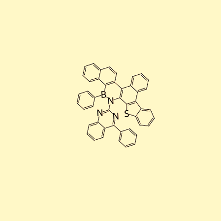 c1ccc(B2c3c(ccc4ccccc34)-c3c(c4sc5ccccc5c4c4ccccc34)N2c2nc(-c3ccccc3)c3ccccc3n2)cc1